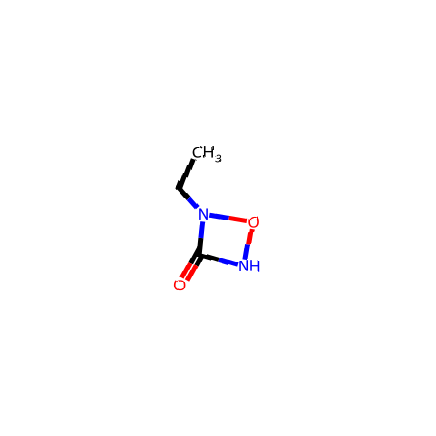 CCn1o[nH]c1=O